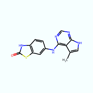 Cc1c[nH]c2ncnc(Nc3ccc4[nH]c(=O)sc4c3)c12